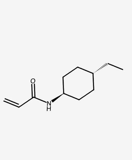 C=CC(=O)N[C@H]1CC[C@H](CC)CC1